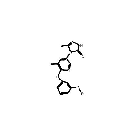 CCOc1cccc(Oc2ncc(-n3c(C)n[nH]c3=O)cc2C)c1